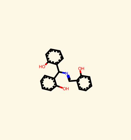 Oc1ccccc1/C=N/C(c1ccccc1O)c1ccccc1O